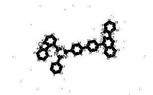 c1ccc(-c2nc(-c3ccc(-c4ccc(-c5c6ccccc6cc6c5sc5ccccc56)cc4)cc3)nc(-c3cccc4oc5ccccc5c34)n2)cc1